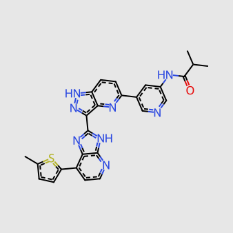 Cc1ccc(-c2ccnc3[nH]c(-c4n[nH]c5ccc(-c6cncc(NC(=O)C(C)C)c6)nc45)nc23)s1